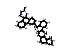 C=C/C=C\c1c(C)c2ccc(-c3nc4cc5ccc6cccnc6c5nc4c4ccccc34)cc2c2ccccc12